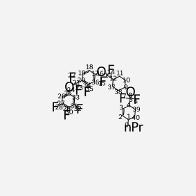 CCCC1C=CC(C(F)(F)OC2CCC(C(F)(F)Oc3ccc(C(F)(F)Oc4cc(F)c(F)c(F)c4)c(F)c3)CC2)CC1